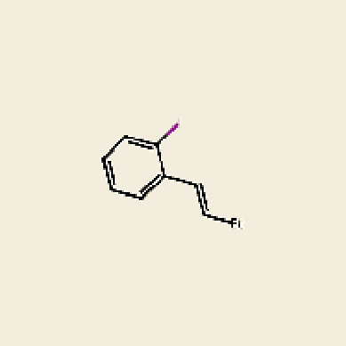 CCC=Cc1ccccc1I